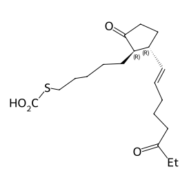 CCC(=O)CCCC=C[C@H]1CCC(=O)[C@@H]1CCCCCSC(=O)O